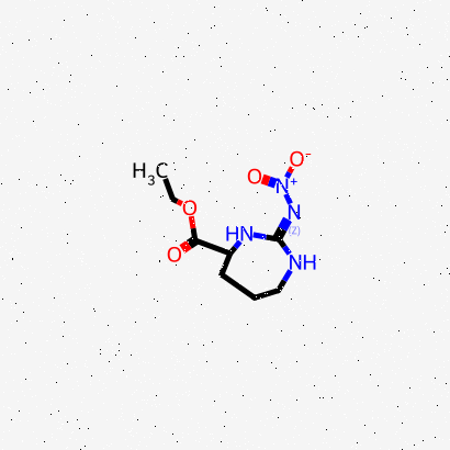 CCOC(=O)C1CCCN/C(=N/[N+](=O)[O-])N1